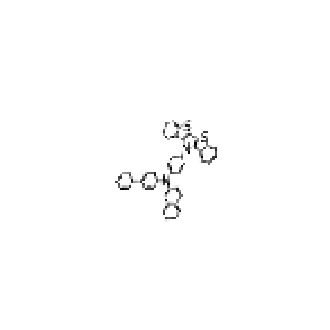 c1ccc(-c2ccc(N(c3ccc(-n4c5c6ccccc6sc5c5sc6ccccc6c54)cc3)c3ccc4ccccc4c3)cc2)cc1